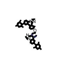 C=C(/C=c1\c(=C/C)c2cc(-c3c(C)cc(C)cc3C)ccc2n2ccnc12)Oc1ccc2c3cc(-c4c(C)cc(C)cc4C)ccc3n3ccnc3c2c1